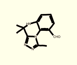 Cc1nnc2n1-c1c(C=O)cccc1NC2(C)C